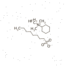 CCCCCCCCS(=O)(=O)[O-].C[N+](C)(C)C1CCCCC1.F